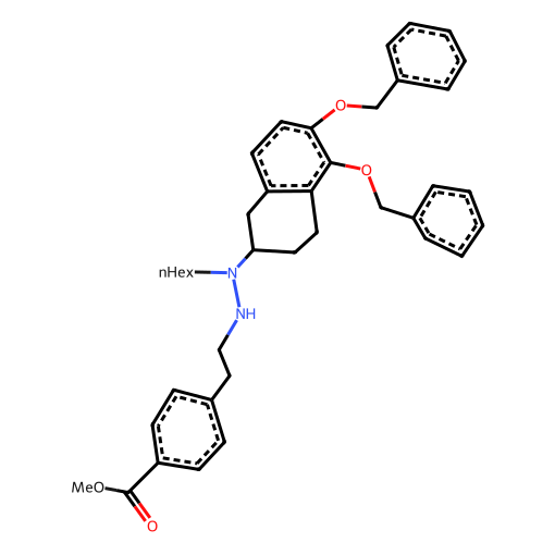 CCCCCCN(NCCc1ccc(C(=O)OC)cc1)C1CCc2c(ccc(OCc3ccccc3)c2OCc2ccccc2)C1